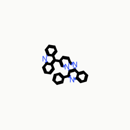 c1ccc(-c2nc3ccccc3c3nc4ccc(-c5c6ccccc6nc6ccccc56)cn4c23)cc1